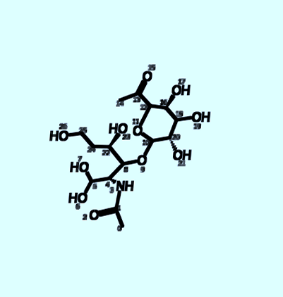 CC(=O)N[C@H](C(O)O)C(OC1OC(C(C)=O)[C@@H](O)C(O)[C@@H]1O)[C@H](O)CCO